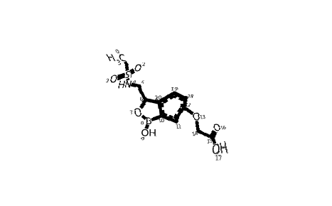 CS(=O)(=O)NCC1OB(O)c2cc(OCC(=O)O)ccc21